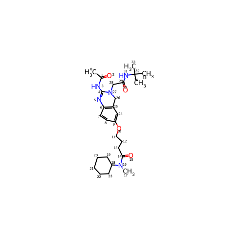 CC(=O)NC1=Nc2ccc(OCCCC(=O)N(C)C3CCCCC3)cc2CN1CC(=O)NC(C)(C)C